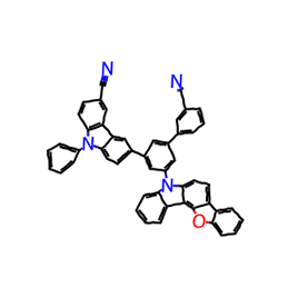 N#Cc1cccc(-c2cc(-c3ccc4c(c3)c3cc(C#N)ccc3n4-c3ccccc3)cc(-n3c4ccccc4c4c5oc6ccccc6c5ccc43)c2)c1